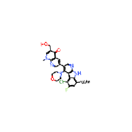 CNc1cc(F)c(Cl)c2c1[nH]c1ncc(-c3cnc4c(c3)c(=O)c(CO)cn4C)c(N3CCOCC3)c12